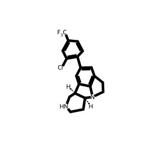 FC(F)(F)c1ccc(-c2cc3c4c(c2)[C@@H]2CNCC[C@@H]2N4CC3)c(Cl)c1